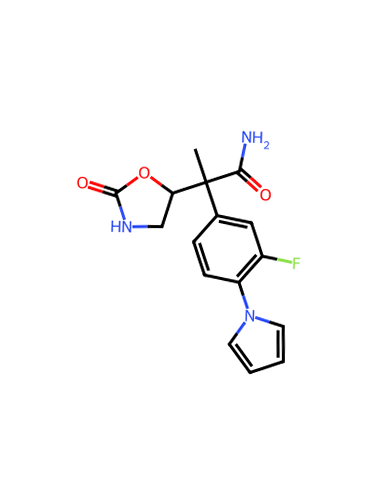 CC(C(N)=O)(c1ccc(-n2cccc2)c(F)c1)C1CNC(=O)O1